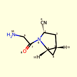 N#C[C@@H]1C[C@@H]2C[C@@H]2N1C(=O)CN